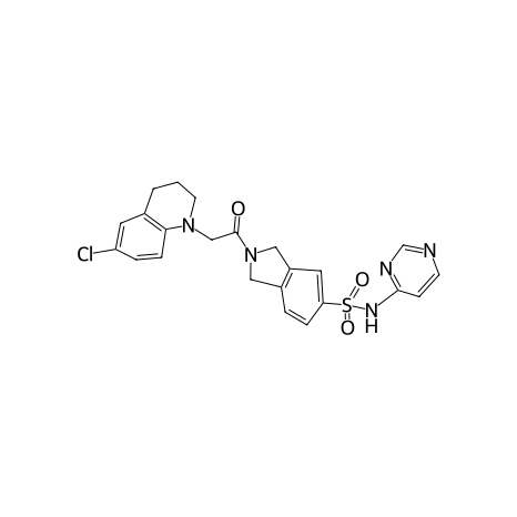 O=C(CN1CCCc2cc(Cl)ccc21)N1Cc2ccc(S(=O)(=O)Nc3ccncn3)cc2C1